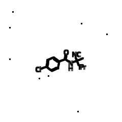 CC(C)C(C)(C#N)NC(=O)c1ccc(Cl)cc1